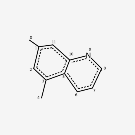 Cc1cc(C)c2cc[c]nc2c1